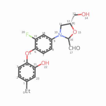 CCc1ccc(Oc2ccc(N3C[C@H](CO)OC3C=O)cc2F)c(O)c1